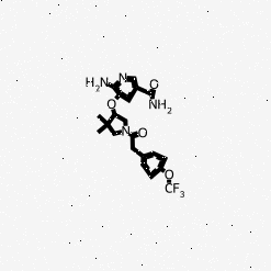 CC1(C)CN(C(=O)Cc2ccc(OC(F)(F)F)cc2)CC1Oc1cc(C(N)=O)cnc1N